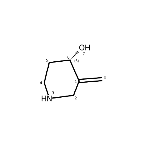 C=C1CNCC[C@@H]1O